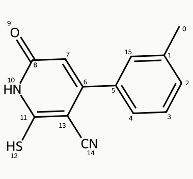 Cc1cccc(-c2cc(=O)[nH]c(S)c2C#N)c1